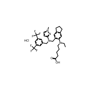 CCN(CCCCC(=O)O)c1cc2c(cc1CN(Cc1cc(C(F)(F)F)cc(C(F)(F)F)c1)c1ccn(C)n1)CCC2.Cl